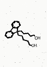 OCCCCCC1(CCCCCO)c2ccccc2-c2ccccc21